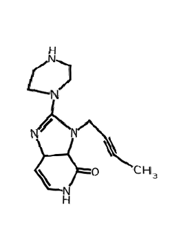 CC#CCN1C(N2CCNCC2)=NC2C=CNC(=O)C21